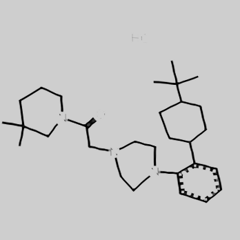 CC1(C)CCCN(C(=O)CN2CCN(c3ccccc3C3CCC(C(C)(C)C)CC3)CC2)C1.Cl